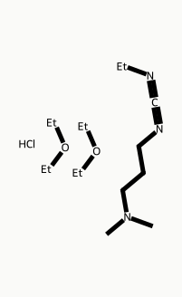 CCN=C=NCCCN(C)C.CCOCC.CCOCC.Cl